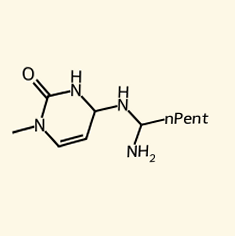 CCCCCC(N)NC1C=CN(C)C(=O)N1